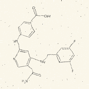 NC(=O)c1cnc(Nc2ccc(C(=O)O)cc2)cc1NCc1cc(F)cc(F)c1